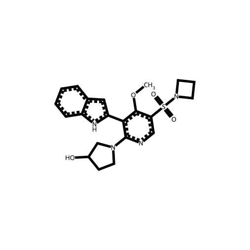 COc1c(S(=O)(=O)N2CCC2)cnc(N2CCC(O)C2)c1-c1cc2ccccc2[nH]1